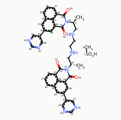 CS(=O)(=O)O.C[C@@H](CNCCNC[C@H](C)N1C(=O)c2cccc3cc(-c4cncnc4)cc(c23)C1=O)N1C(=O)c2cccc3cc(-c4cncnc4)cc(c23)C1=O